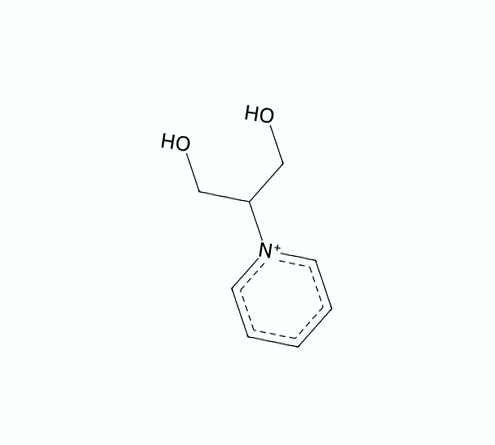 OCC(CO)[n+]1ccccc1